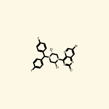 CC[C@H]1CN(C(c2ccc(F)cc2)c2ccc(F)cc2)[C@H](CC)CN1c1nc(Cl)nc2cc(Br)cnc12